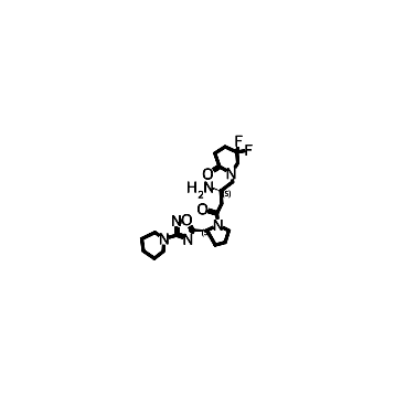 N[C@@H](CC(=O)N1CCC[C@H]1c1nc(N2CCCCC2)no1)CN1CC(F)(F)CCC1=O